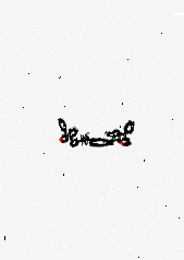 c1ccc(N2c3ccccc3N(c3cccc(-c4nsc(-c5cccc(N6c7ccccc7N(c7ccccc7)c7ccccc76)c5)n4)c3)c3ccccc32)cc1